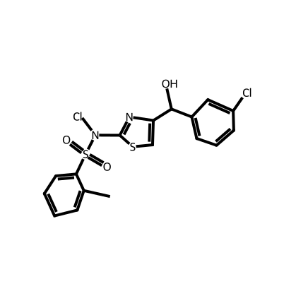 Cc1ccccc1S(=O)(=O)N(Cl)c1nc(C(O)c2cccc(Cl)c2)cs1